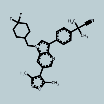 Cc1noc(C)c1-c1cnc2c(-c3ccc(C(C)(C)C#N)cc3)cn(CC3CCC(F)(F)CC3)c2c1